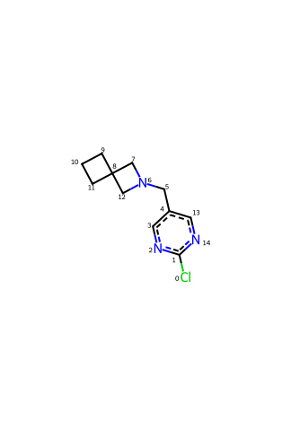 Clc1ncc(CN2CC3(CCC3)C2)cn1